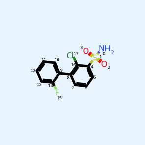 NS(=O)(=O)c1cccc(-c2ccccc2F)c1Cl